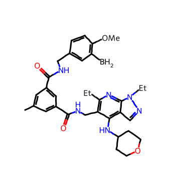 Bc1cc(CNC(=O)c2cc(C)cc(C(=O)NCc3c(CC)nc4c(cnn4CC)c3NC3CCOCC3)c2)ccc1OC